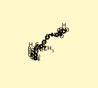 CCc1cc(Nc2ncc(Br)c(Nc3ccc4nccnc4c3P(C)(C)=O)n2)c(OC)cc1N1CCC(C2CCN(CC3CN(c4ccc5c(c4)C(=O)N(C4CCC(=O)NC4=O)C5=O)C3)CC2)CC1